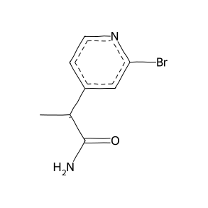 C[C](C(N)=O)c1ccnc(Br)c1